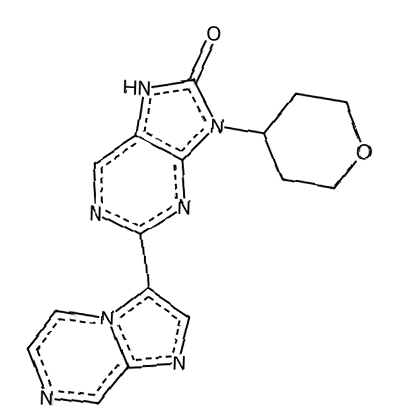 O=c1[nH]c2cnc(-c3cnc4cnccn34)nc2n1C1CCOCC1